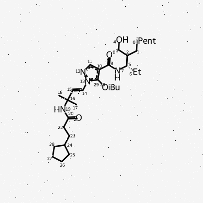 CCCC(C)CC(CO)[C@H](CC)NC(=O)c1cnn(/C=C/C(C)(C)NC(=O)CCC2CCCC2)c1OCC(C)C